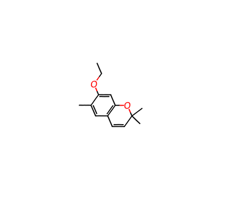 CCOc1cc2c(cc1C)C=CC(C)(C)O2